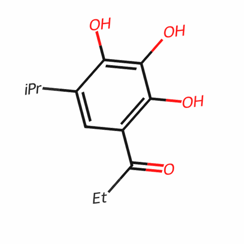 CCC(=O)c1cc(C(C)C)c(O)c(O)c1O